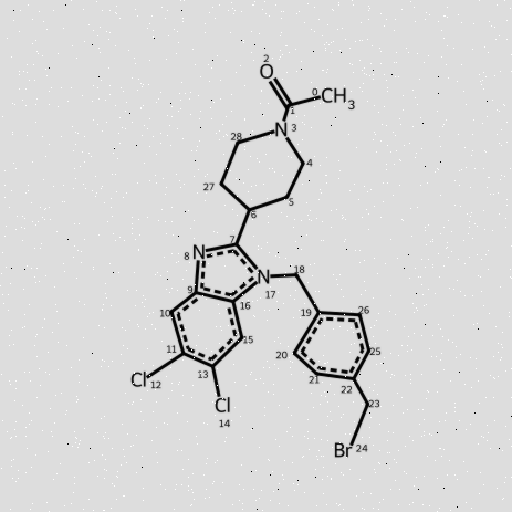 CC(=O)N1CCC(c2nc3cc(Cl)c(Cl)cc3n2Cc2ccc(CBr)cc2)CC1